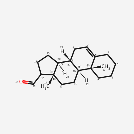 C[C@]12CCCCC1=CC[C@@H]1[C@@H]2CC[C@]2(C)C(C=O)CC[C@@H]12